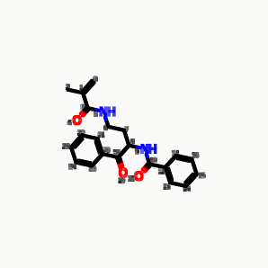 C=C(C)C(=O)NCCC(NC(=O)c1ccccc1)C(=O)c1ccccc1